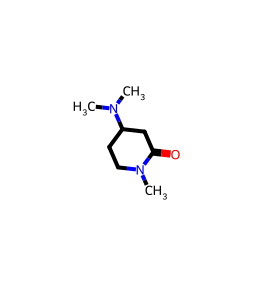 CN1CCC(N(C)C)CC1=O